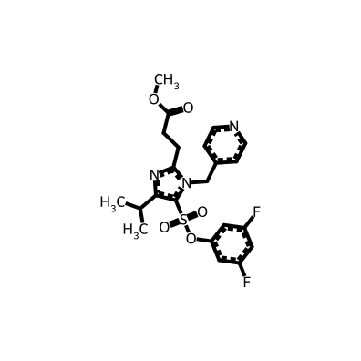 COC(=O)CCc1nc(C(C)C)c(S(=O)(=O)Oc2cc(F)cc(F)c2)n1Cc1ccncc1